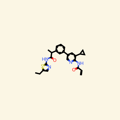 C=CC(=O)Nc1ncc(-c2cccc(C(C)C(=O)Nc3ncc(CC)s3)c2)cc1C1CC1